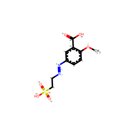 COc1ccc(/N=N/CCS(=O)(=O)O)cc1C(=O)O